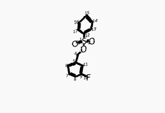 O=S(=O)(OCc1cccc(F)c1)c1ccccc1